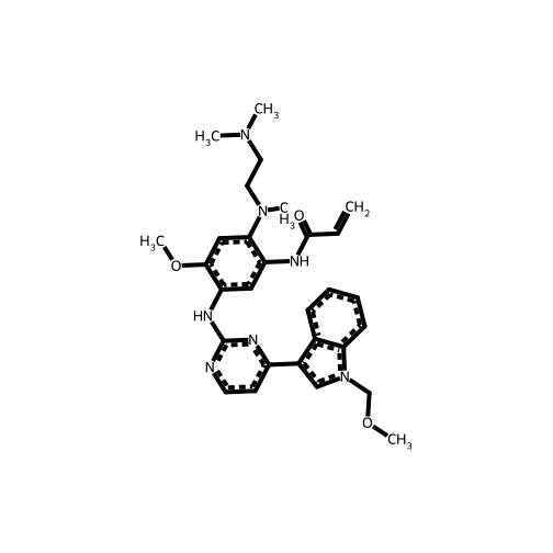 C=CC(=O)Nc1cc(Nc2nccc(-c3cn(COC)c4ccccc34)n2)c(OC)cc1N(C)CCN(C)C